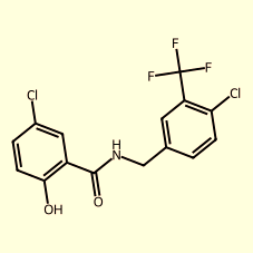 O=C(NCc1ccc(Cl)c(C(F)(F)F)c1)c1cc(Cl)ccc1O